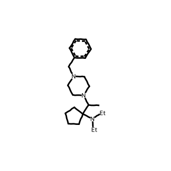 CCN(CC)C1(C(C)N2CCN(Cc3ccccc3)CC2)CCCC1